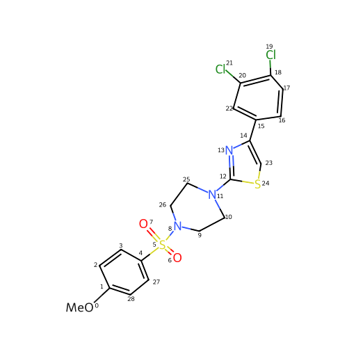 COc1ccc(S(=O)(=O)N2CCN(c3nc(-c4ccc(Cl)c(Cl)c4)cs3)CC2)cc1